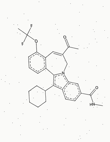 CNC(=O)c1ccc2c(C3CCCCC3)c3n(c2c1)CC(C(C)=O)=Cc1c(OC(C)(F)F)cccc1-3